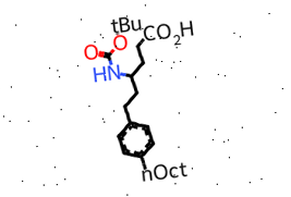 CCCCCCCCc1ccc(CCC(CCC(=O)O)NC(=O)OC(C)(C)C)cc1